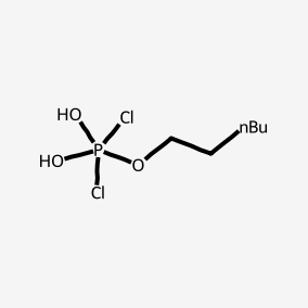 CCCCCCOP(O)(O)(Cl)Cl